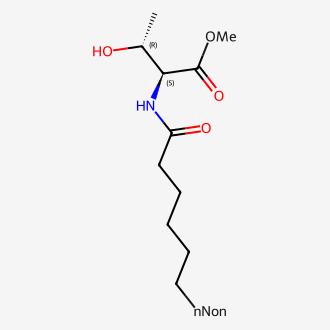 CCCCCCCCCCCCCCC(=O)N[C@H](C(=O)OC)[C@@H](C)O